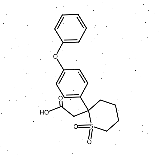 O=C(O)CC1(c2ccc(Oc3ccccc3)cc2)CCCCS1(=O)=O